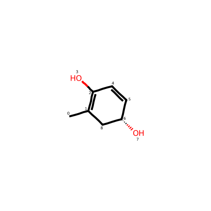 CC1=C(O)C=C[C@H](O)C1